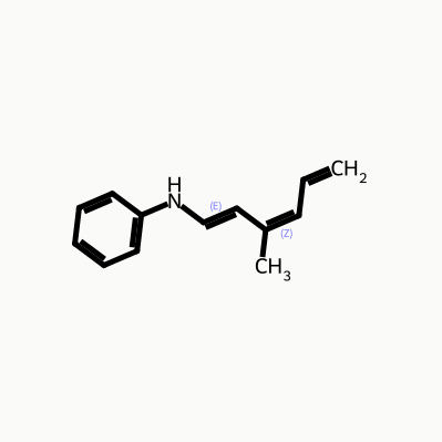 C=C/C=C(C)\C=C\Nc1ccccc1